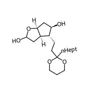 CCCCCCCC1(CC[C@@H]2[C@H]3CC(O)O[C@H]3C[C@H]2O)OCCCO1